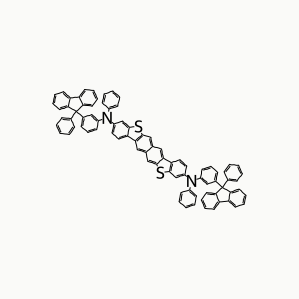 c1ccc(N(c2cccc(C3(c4ccccc4)c4ccccc4-c4ccccc43)c2)c2ccc3c(c2)sc2cc4cc5c(cc4cc23)sc2cc(N(c3ccccc3)c3cccc(C4(c6ccccc6)c6ccccc6-c6ccccc64)c3)ccc25)cc1